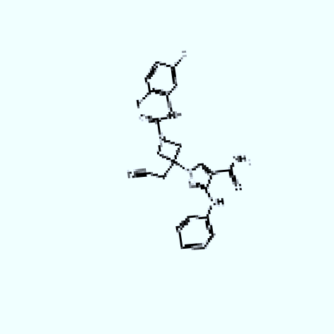 N#CCC1(n2cc(C(N)=O)c(Nc3ccccc3)n2)CN(C(=O)Nc2cc(F)ccc2F)C1